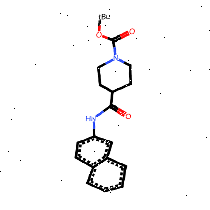 CC(C)(C)OC(=O)N1CCC(C(=O)Nc2ccc3ccccc3c2)CC1